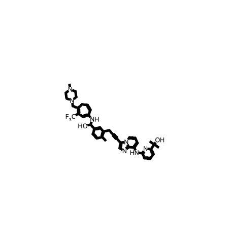 Cc1ccc(C(O)NC2=CC(C(F)(F)F)=C(CN3CCN(C)CC3)CC=C2)cc1CC#Cc1cnc2c(Nc3cccc(C(C)(C)O)n3)cccn12